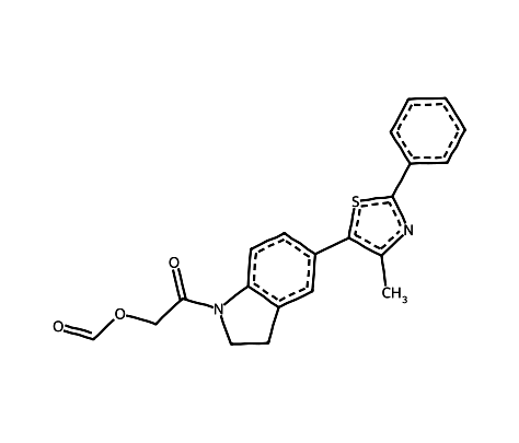 Cc1nc(-c2ccccc2)sc1-c1ccc2c(c1)CCN2C(=O)COC=O